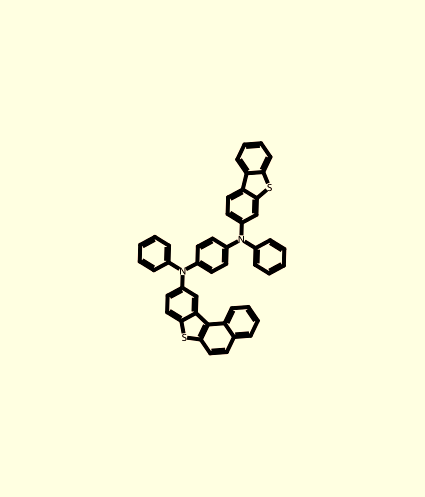 c1ccc(N(c2ccc(N(c3ccccc3)c3ccc4sc5ccc6ccccc6c5c4c3)cc2)c2ccc3c(c2)sc2ccccc23)cc1